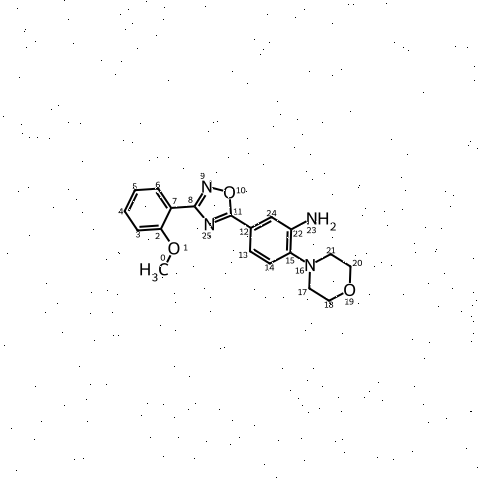 COc1ccccc1-c1noc(-c2ccc(N3CCOCC3)c(N)c2)n1